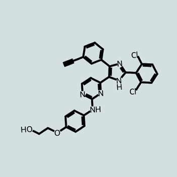 C#Cc1cccc(-c2nc(-c3c(Cl)cccc3Cl)[nH]c2-c2ccnc(Nc3ccc(OCCO)cc3)n2)c1